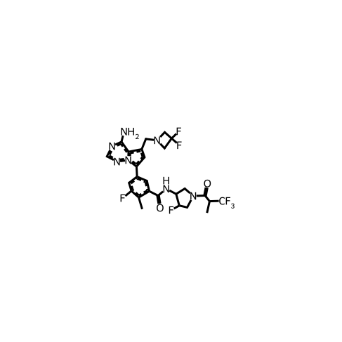 Cc1c(F)cc(-c2cc(CN3CC(F)(F)C3)c3c(N)ncnn23)cc1C(=O)NC1CN(C(=O)C(C)C(F)(F)F)CC1F